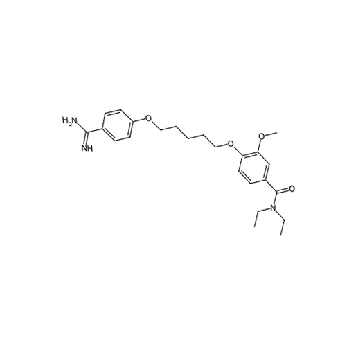 CCN(CC)C(=O)c1ccc(OCCCCCOc2ccc(C(=N)N)cc2)c(OC)c1